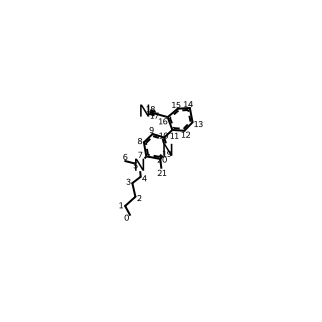 CCCCCN(C)c1ccc(-c2ccccc2C#N)nc1C